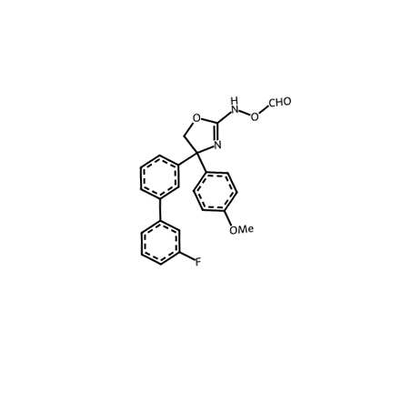 COc1ccc(C2(c3cccc(-c4cccc(F)c4)c3)COC(NOC=O)=N2)cc1